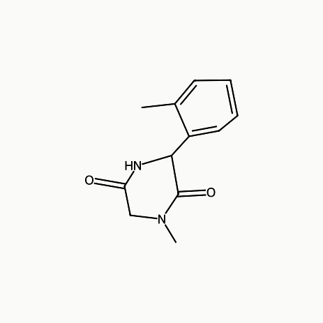 Cc1ccccc1C1NC(=O)CN(C)C1=O